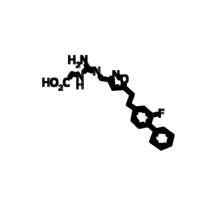 NC(=NCc1cc(CCc2ccc(-c3ccccc3)c(F)c2)on1)NCC(=O)O